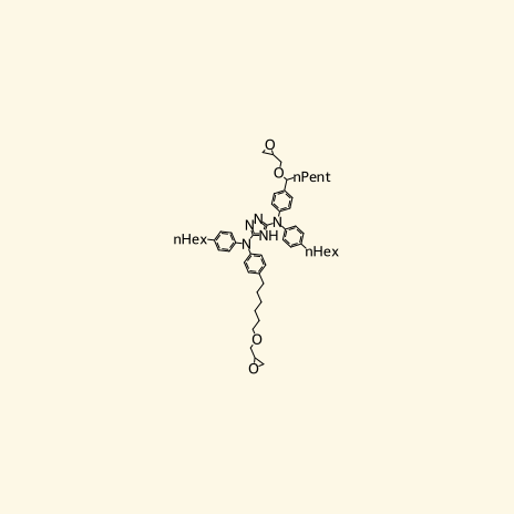 CCCCCCc1ccc(N(c2ccc(CCCCCCOCC3CO3)cc2)c2nnc(N(c3ccc(CCCCCC)cc3)c3ccc(C(CCCCC)OCC4CO4)cc3)[nH]2)cc1